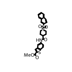 COC(=O)c1cc2cc(NC(=O)C3CCN(S(=O)(=O)c4ccc5ccccc5c4)CC3)ccc2s1